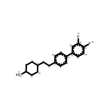 OC1CCC(CCc2ccc(-c3ccc(F)c(F)c3)cc2)CC1